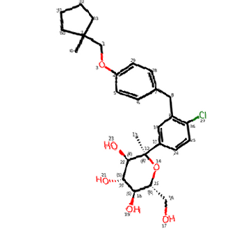 CC1(COc2ccc(Cc3cc([C@@]4(C)O[C@H](CO)[C@@H](O)[C@H](O)[C@H]4O)ccc3Cl)cc2)CCCC1